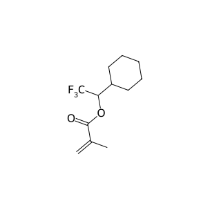 C=C(C)C(=O)OC(C1CCCCC1)C(F)(F)F